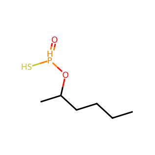 CCCCC(C)O[PH](=O)S